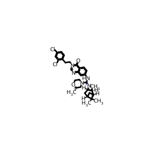 C[C@@H]1[C@@H](/N=C(/Nc2ccc3c(=O)n(CCc4ccc(Cl)cc4Cl)cnc3c2)N2CCO[C@@H](C)C2)C[C@@H]2C[C@H]1C2(C)C